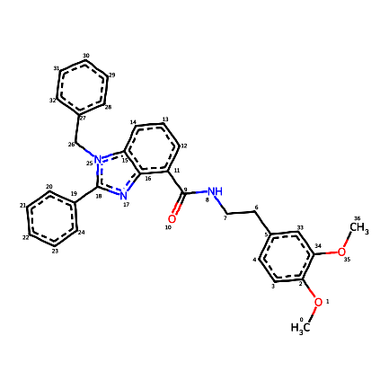 COc1ccc(CCNC(=O)c2cccc3c2nc(-c2ccccc2)n3Cc2ccccc2)cc1OC